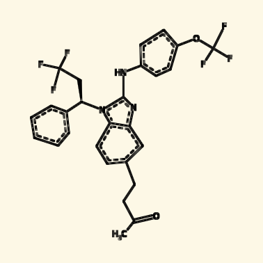 CC(=O)CCc1ccc2c(c1)nc(Nc1ccc(OC(F)(F)F)cc1)n2[C@H](CC(F)(F)F)c1ccccc1